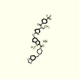 Br.CCN(C(=O)c1ccc(C(F)(F)F)cc1)c1ccc(Oc2ccc3c(c2)cc(C(=O)N2CCN(Cc4ccc5c(c4)OCO5)CC2)n3C)nc1